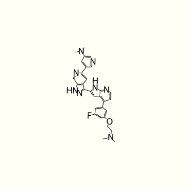 CN(C)CCOc1cc(F)cc(-c2ccnc3[nH]c(-c4n[nH]c5cnc(-c6cncc(N(C)C)c6)cc45)cc23)c1